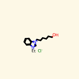 CCn1c[n+](CCCCCCO)c2ccccc21.[Cl-]